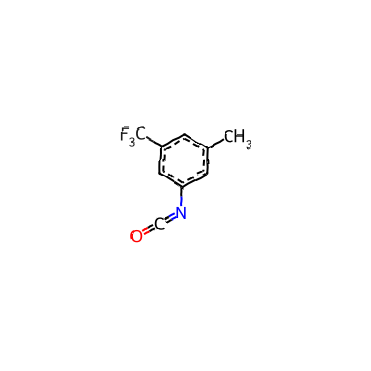 Cc1cc(N=C=O)cc(C(F)(F)F)c1